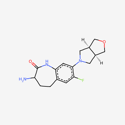 NC1CCc2cc(F)c(N3C[C@H]4COC[C@H]4C3)cc2NC1=O